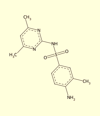 Cc1cc(C)nc(NS(=O)(=O)c2ccc(N)c(C)c2)n1